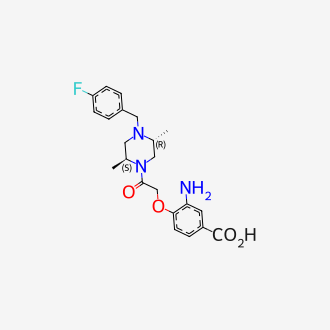 C[C@@H]1CN(C(=O)COc2ccc(C(=O)O)cc2N)[C@@H](C)CN1Cc1ccc(F)cc1